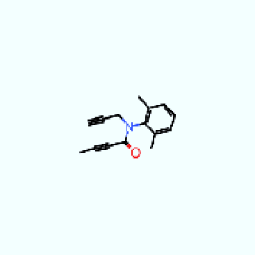 C#CCN(C(=O)C#CC)c1c(C)cccc1C